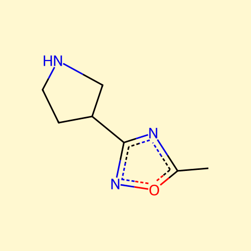 Cc1nc(C2CCNC2)no1